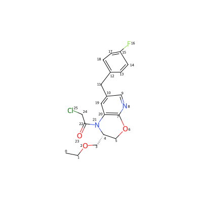 CCOC[C@H]1COc2ncc(Cc3ccc(F)cc3)cc2N1C(=O)CCl